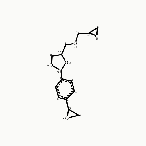 c1cc(C2CO2)ccc1B1OCC(COCC2CO2)O1